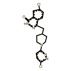 O=c1[nH]nc(CC2CCN(c3ccc(Cl)nn3)CC2)c2ccc(Cl)cc12